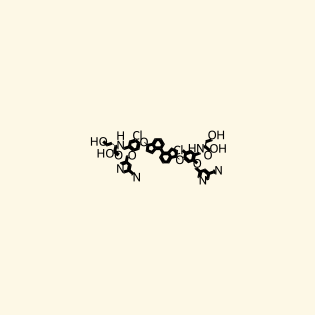 N#Cc1cncc(COc2cc(O[C@H]3CCc4c(-c5cccc6c5CC[C@@H]6Oc5cc(OCc6cncc(C#N)c6)c(CN[C@@H](CCO)C(=O)O)cc5Cl)cccc43)c(Cl)cc2CN[C@@H](CCO)C(=O)O)c1